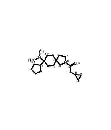 CN(C)C1(C2CCCC2)CCC2(CCN(C(=O)CC3CC3)C2)CC1